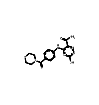 NC(=O)c1nnc(O)nc1Nc1ccc(C(=O)N2CCOCC2)cc1